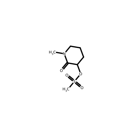 CN1CCCC(OS(C)(=O)=O)C1=O